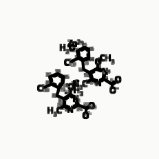 COc1nc(C(=O)[O-])nc(C)c1Cc1ccccc1Cl.COc1nc(C(=O)[O-])nc(C)c1Cc1ccccc1Cl.O.[Zn+2]